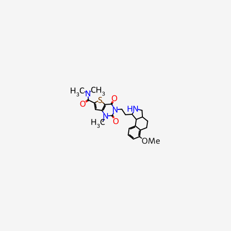 COc1cccc2c1CCC1CNC(CCn3c(=O)c4sc(C(=O)N(C)C)cc4n(C)c3=O)C21